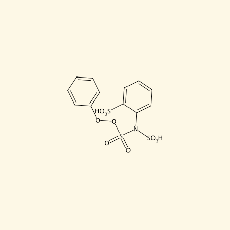 O=S(=O)(O)c1ccccc1N(S(=O)(=O)O)S(=O)(=O)OOc1ccccc1